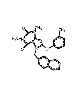 Cn1c(=O)c2c(nc(Oc3cccc(C(F)(F)F)c3)n2Cc2ccc3ccccc3c2)n(C)c1=O